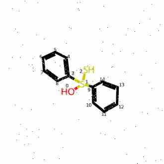 OS(S)(c1ccccc1)c1ccccc1